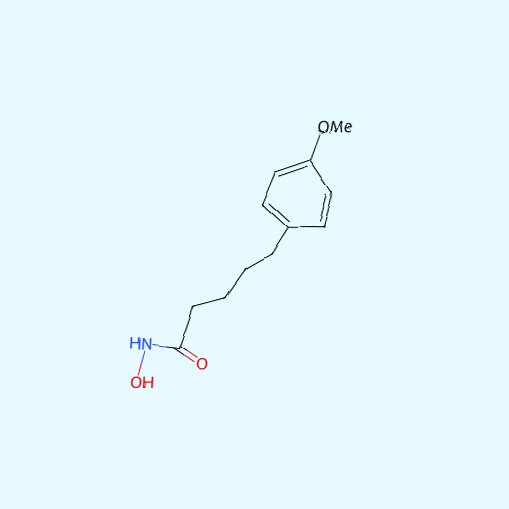 COc1ccc(CCCCC(=O)NO)cc1